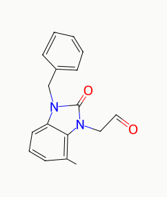 Cc1cccc2c1n(CC=O)c(=O)n2Cc1ccccc1